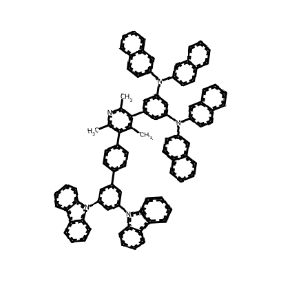 Cc1nc(C)c(-c2cc(N(c3ccc4ccccc4c3)c3ccc4ccccc4c3)cc(N(c3ccc4ccccc4c3)c3ccc4ccccc4c3)c2)c(C)c1-c1ccc(-c2cc(-n3c4ccccc4c4ccccc43)cc(-n3c4ccccc4c4ccccc43)c2)cc1